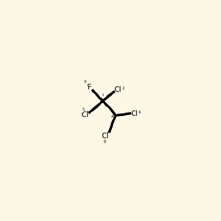 FC(Cl)(Cl)[C](Cl)Cl